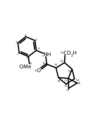 COc1ccccc1NC(=O)C1C(C(=O)O)C2CCC1C21CC1